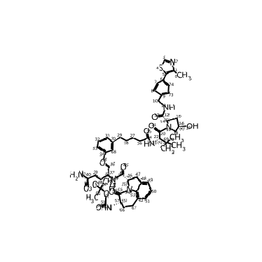 Cc1ncsc1-c1ccc(CNC(=O)[C@@H]2C[C@@H](O)CN2C(=O)[C@@H](NC(=O)CCCCc2cccc(OC[C@H](CCC(N)=O)NC(=O)[C@@H]3Cc4cccc5c4N3C(=O)[C@@H](NC(=O)OC(C)(C)C)CC5)c2)C(C)(C)C)cc1